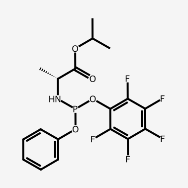 CC(C)OC(=O)[C@@H](C)NP(Oc1ccccc1)Oc1c(F)c(F)c(F)c(F)c1F